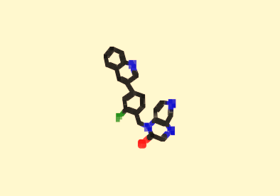 O=c1cnc2cnccc2n1Cc1ccc(-c2cnc3ccccc3c2)cc1F